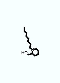 CCCCCCCCN1CCCCC1CO